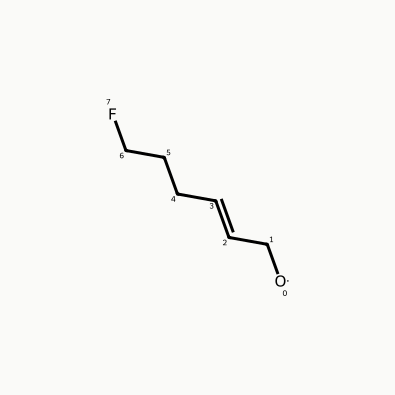 [O]C/C=C/CCCF